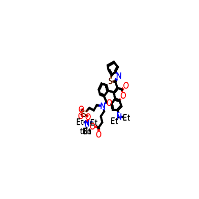 CCN(CC)c1ccc2c(-c3ccccc3C(=O)N(CCCC(=O)OC(C)(C)C)CCCS(=O)(=O)O[N+](CC)(CC)CC)c(-c3nc4ccccc4s3)c(=O)oc2c1